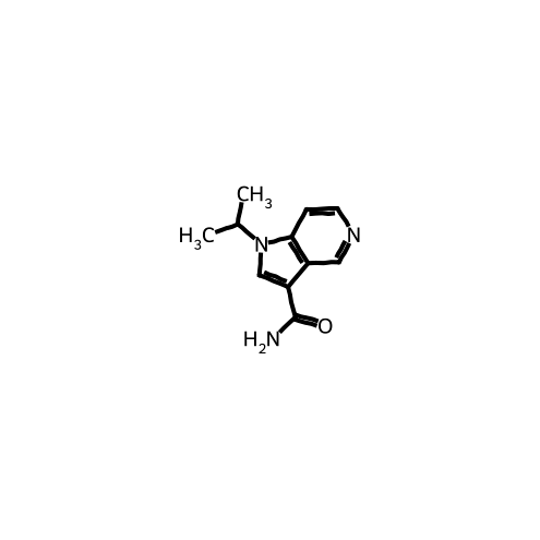 CC(C)n1cc(C(N)=O)c2cnccc21